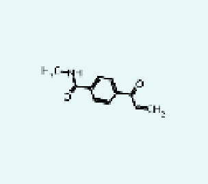 C=CC(=O)c1ccc(C(=O)NC)cc1